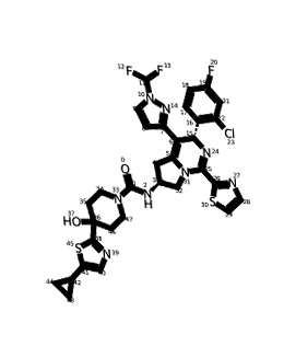 O=C(N[C@H]1CC2=C(c3ccn(C(F)F)n3)[C@H](c3ccc(F)cc3Cl)N=C(c3nccs3)N2C1)N1CCC(O)(c2ncc(C3CC3)s2)CC1